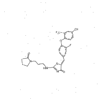 N#Cc1ccc(Oc2ccc(/C=C3\SC(NCCCN4CCCC4=O)=NC3=O)cc2F)c(C(F)(F)F)c1